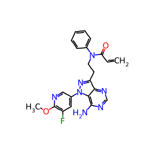 C=CC(=O)N(CCc1nn(-c2cnc(OC)c(F)c2)c2c(N)ncnc12)c1ccccc1